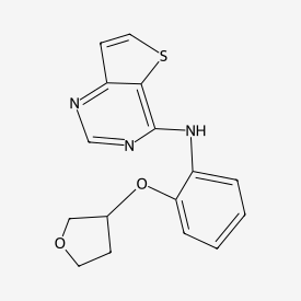 c1ccc(OC2CCOC2)c(Nc2ncnc3ccsc23)c1